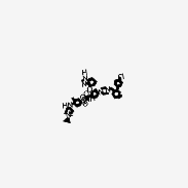 Cc1cc(S(=O)(=O)NC(=O)c2ccc(N3CCN(CC4=C(c5ccc(Cl)cc5)CC(C)(C)CC4)CC3)cc2Oc2cccc3[nH]cnc23)ccc1NC1CCN(C2CC2)CC1